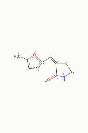 Cc1ccc(C=C2CCNC2=O)o1